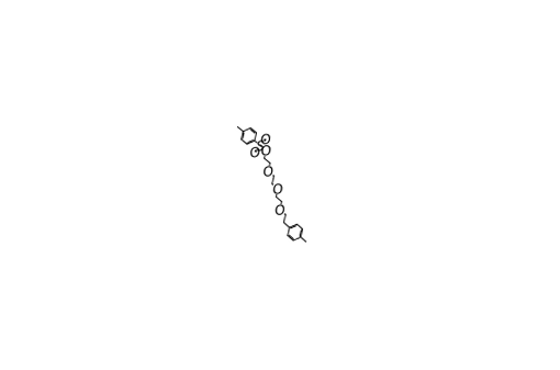 Cc1ccc(CCOCCOCCOCCOS(=O)(=O)c2ccc(C)cc2)cc1